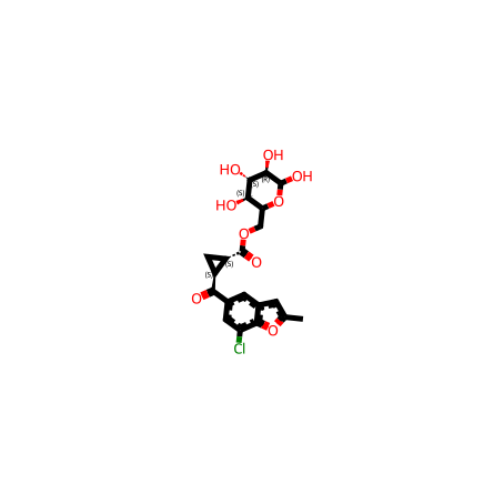 Cc1cc2cc(C(=O)[C@H]3C[C@@H]3C(=O)OCC3OC(O)[C@H](O)[C@@H](O)[C@@H]3O)cc(Cl)c2o1